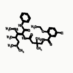 CCOc1ccc(Cl)cc1C(=O)NCC(C)(C)CC(=O)N/C(C(=O)Nc1ccccc1)=C(/NC)C(C)CN(C)C